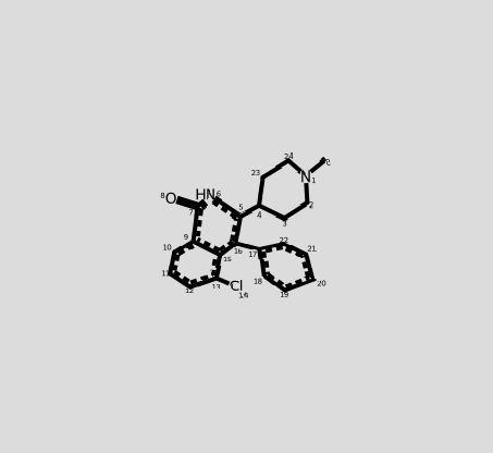 CN1CCC(c2[nH]c(=O)c3cccc(Cl)c3c2-c2ccccc2)CC1